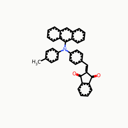 Cc1ccc(N(c2ccc(C=C3C(=O)c4ccccc4C3=O)cc2)c2c3ccccc3cc3ccccc23)cc1